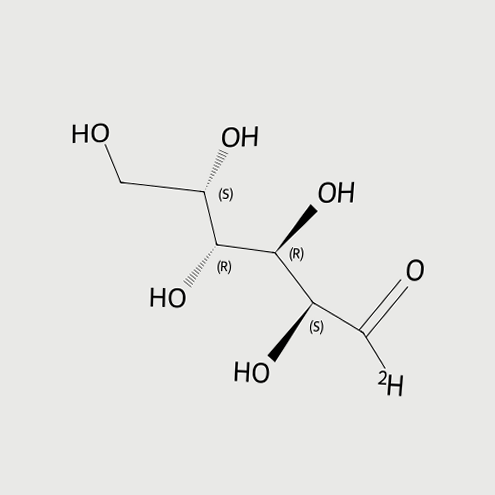 [2H]C(=O)[C@@H](O)[C@H](O)[C@H](O)[C@@H](O)CO